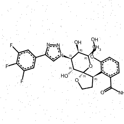 COc1cccc(C(N)=O)c1[C@H]1CCO[C@]12O[C@H](CO)[C@H](O)[C@H](n1cc(-c3cc(F)c(F)c(F)c3)nn1)[C@H]2O